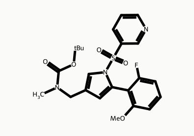 COc1cccc(F)c1-c1cc(CN(C)C(=O)OC(C)(C)C)cn1S(=O)(=O)c1cccnc1